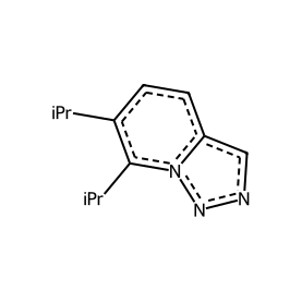 CC(C)c1ccc2cnnn2c1C(C)C